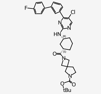 CC(C)(C)OC(=O)N1CCC2(C1)CN(C(=O)[C@H]1CCC[C@@H](Nc3ncc(Cl)c(-c4cccc(-c5ccc(F)cc5)c4)n3)C1)C2